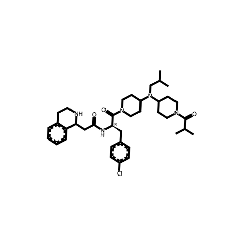 CC(C)CN(C1CCN(C(=O)C(C)C)CC1)C1CCN(C(=O)[C@@H](Cc2ccc(Cl)cc2)NC(=O)CC2NCCc3ccccc32)CC1